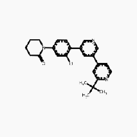 CC(C)(C)c1cc(-c2cncc(-c3ccc(N4CCCCC4=O)cc3Cl)c2)ccn1